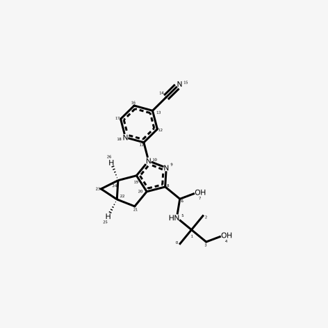 CC(C)(CO)NC(O)c1nn(-c2cc(C#N)ccn2)c2c1C[C@H]1C[C@@H]21